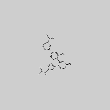 CC(=O)Nc1cnc(C2=CCC(=S)C=C2c2ccc(-c3cccc([N+](=O)[O-])c3)cc2O)o1